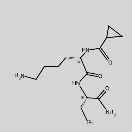 CC(C)C[C@H](NC(=O)[C@H](CCCCN)NC(=O)C1CC1)C(N)=O